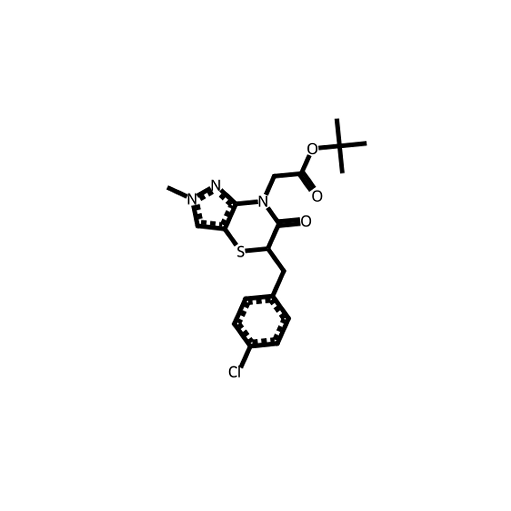 Cn1cc2c(n1)N(CC(=O)OC(C)(C)C)C(=O)C(Cc1ccc(Cl)cc1)S2